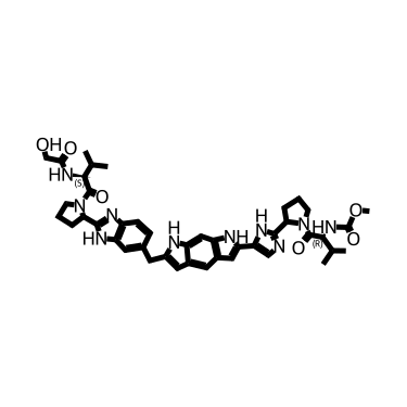 COC(=O)N[C@@H](C(=O)N1CCCC1c1ncc(-c2cc3cc4cc(Cc5ccc6nc(C7CCCN7C(=O)[C@@H](NC(=O)CO)C(C)C)[nH]c6c5)[nH]c4cc3[nH]2)[nH]1)C(C)C